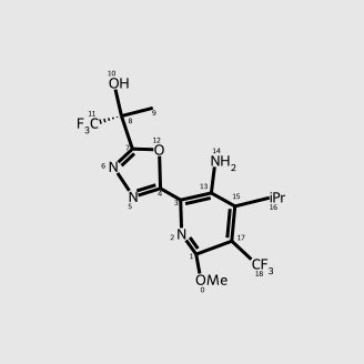 COc1nc(-c2nnc([C@](C)(O)C(F)(F)F)o2)c(N)c(C(C)C)c1C(F)(F)F